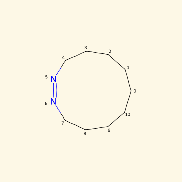 C1CCCCN=NCCCC1